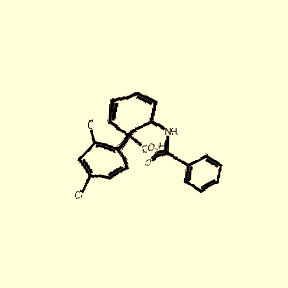 O=C(NC1C=CC=CC1(C(=O)O)c1ccc(Cl)cc1Cl)c1ccccc1